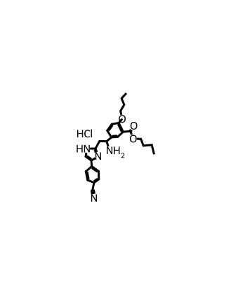 CCCCOC(=O)c1cc(C(N)Cc2nc(-c3ccc(C#N)cc3)c[nH]2)ccc1OCCCC.Cl